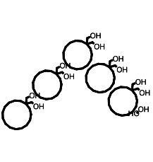 OCC1(CO)CCCCCCCCCCCCCC1.OCC1(CO)CCCCCCCCCCCCCC1.OCC1(CO)CCCCCCCCCCCCCC1.OCC1(CO)CCCCCCCCCCCCCC1.OCC1(CO)CCCCCCCCCCCCCC1.OO